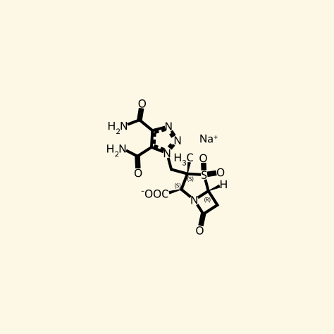 C[C@]1(Cn2nnc(C(N)=O)c2C(N)=O)[C@H](C(=O)[O-])N2C(=O)C[C@H]2S1(=O)=O.[Na+]